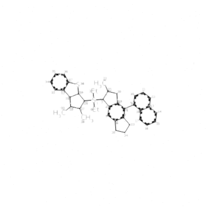 CCS(CC)(C1c2cc3c(c(-c4cccc5ccccc45)c2CC1C)CCC3)C1C(C)C(C)C2c3ccccc3SC21